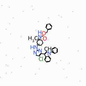 Cc1c(-c2nc(N[C@@H]3CCC[C@](C)(NC(=O)OCc4ccccc4)C3)ncc2Cl)c2ccccc2n1-c1ccccc1